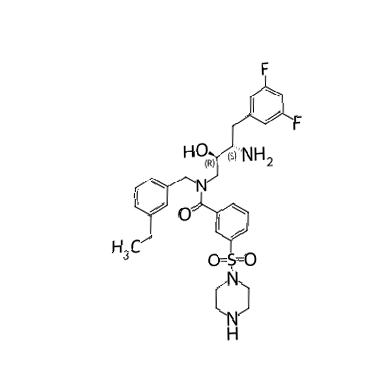 CCc1cccc(CN(C[C@@H](O)[C@@H](N)Cc2cc(F)cc(F)c2)C(=O)c2cccc(S(=O)(=O)N3CCNCC3)c2)c1